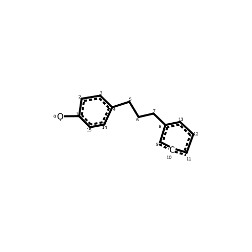 [O]c1ccc(CCCc2ccccc2)cc1